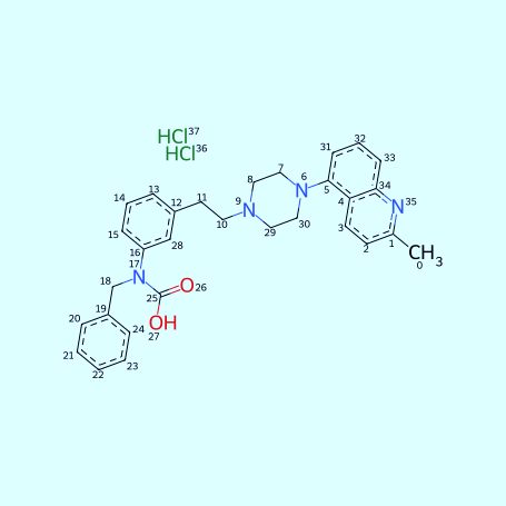 Cc1ccc2c(N3CCN(CCc4cccc(N(Cc5ccccc5)C(=O)O)c4)CC3)cccc2n1.Cl.Cl